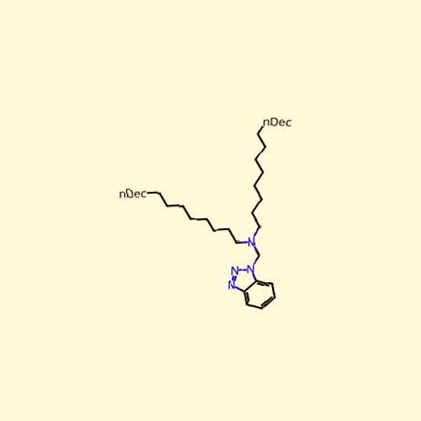 CCCCCCCCCCCCCCCCCCN(CCCCCCCCCCCCCCCCCC)Cn1nnc2ccccc21